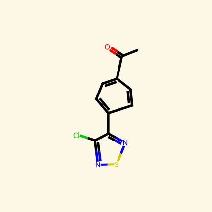 CC(=O)c1ccc(-c2nsnc2Cl)cc1